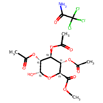 COC(=O)[C@H]1O[C@H](O)[C@H](OC(C)=O)[C@@H](OC(C)=O)[C@@H]1OC(C)=O.NC(=O)C(Cl)(Cl)Cl